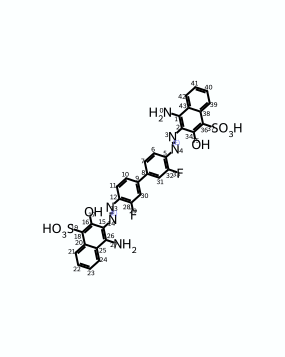 Nc1c(/N=N/c2ccc(-c3ccc(/N=N/c4c(O)c(S(=O)(=O)O)c5ccccc5c4N)c(F)c3)cc2F)c(O)c(S(=O)(=O)O)c2ccccc12